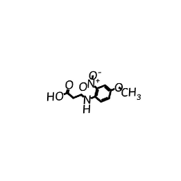 COc1ccc(NCCC(=O)O)c([N+](=O)[O-])c1